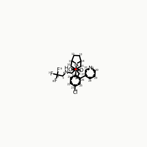 CCC1(CNCC(F)(F)F)CC2CCC(C1)N2S(=O)(=O)c1ccc(Cl)cc1-c1cccnc1